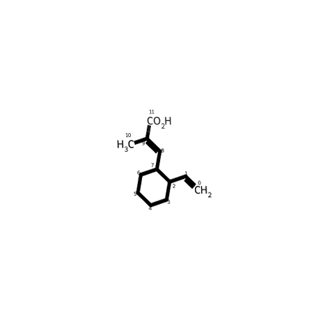 C=CC1CCCCC1C=C(C)C(=O)O